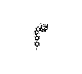 O=C1NC2(CC2)C2(CC2)c2[nH]c3c(c21)CCc1cnc(-c2ccc(N4CCNCC4)cc2)cc1-3